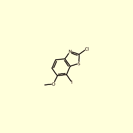 COc1ccc2nc(Cl)sc2c1I